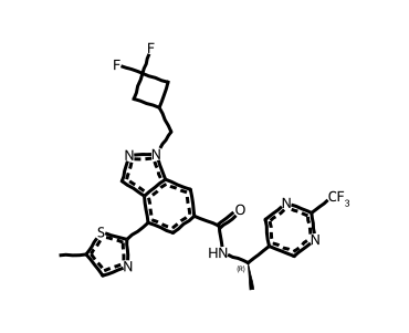 Cc1cnc(-c2cc(C(=O)N[C@H](C)c3cnc(C(F)(F)F)nc3)cc3c2cnn3CC2CC(F)(F)C2)s1